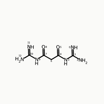 N=C(N)NC(=O)CC(=O)NC(=N)N